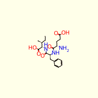 CC[C@H](C)[C@H](NC(=O)[C@H](Cc1ccccc1)NC(=O)[C@@H](N)CCC(=O)O)C(=O)O